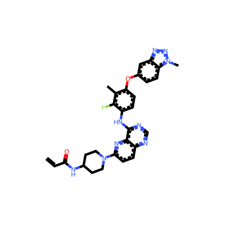 C=CC(=O)NC1CCN(c2ccc3ncnc(Nc4ccc(Oc5ccc6c(c5)nnn6C)c(C)c4F)c3n2)CC1